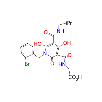 CC(C)CNC(=O)c1c(O)c(C(=O)NCC(=O)O)c(=O)n(Cc2ccccc2Br)c1O